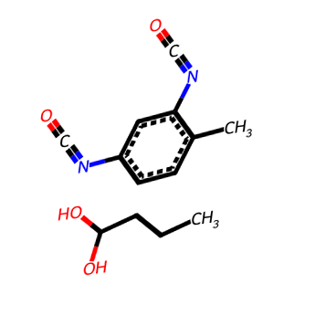 CCCC(O)O.Cc1ccc(N=C=O)cc1N=C=O